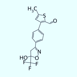 Cc1cc(-c2ccc(C3=NOC(O)(C(F)(F)F)C3)cc2)c(C=O)s1